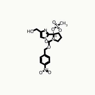 CS(=O)(=O)O[C@]1(c2nc(CO)cs2)CCCN1C(=O)OCc1ccc([N+](=O)[O-])cc1